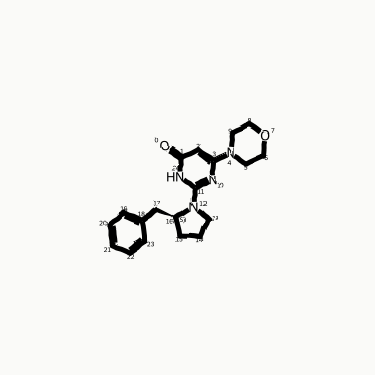 O=c1cc(N2CCOCC2)nc(N2CCC[C@H]2Cc2ccccc2)[nH]1